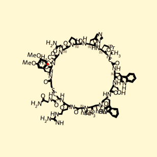 CCCC[C@H]1C(=O)N(C)[C@@H](CCCC)C(=O)N[C@@H](CCCNC(=N)N)C(=O)N[C@H](C(=O)NCC(N)=O)CSCC(=O)N[C@@H](Cc2ccc(OC)c(OC)c2)C(=O)N(C)[C@@H](C)C(=O)N[C@@H](CC(N)=O)C(=O)N2CCC[C@H]2C(=O)N[C@@H](Cc2cnc[nH]2)C(=O)N[C@@H](CC(C)C)C(=O)N(C)CC(=O)N[C@@H](Cc2c[nH]c3ccccc23)C(=O)N[C@@H](CO)C(=O)N[C@@H](Cc2c[nH]c3ccccc23)C(=O)N1C